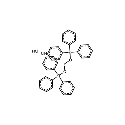 Cl.Cl.c1ccc([Si]([O][Ti][O][Si](c2ccccc2)(c2ccccc2)c2ccccc2)(c2ccccc2)c2ccccc2)cc1